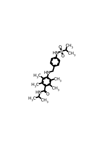 Cc1c(C)c(C(=O)NC(C)C)c(C)c(C)c1NCc1ccc(NS(=O)(=O)C(C)C)cc1